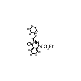 CCOC(=O)c1nn(CCC2CCCCC2)c(=O)c2ccccc12